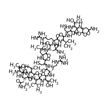 CC[C@H](C)[C@H](NC(=O)[C@H](CC(N)=O)NC(=O)[C@@H](N)[C@@H](C)O)C(=O)N[C@H](C(=O)N[C@H](C(=O)N[C@@H](CCCNC(=N)N)C(=O)N[C@@H](CS)C(=O)N[C@@H](CC(C)C)C(=O)N[C@@H](CC(N)=O)C(=O)N[C@@H](CCCNC(=N)N)C(=O)N[C@H](C(=O)N[C@@H](CS)C(=O)N[C@H](C(=O)N[C@@H](CC(N)=O)C(=O)O)[C@@H](C)O)C(C)C)[C@@H](C)O)C(C)C